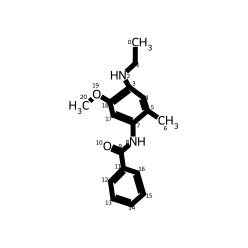 CCNc1cc(C)c(NC(=O)c2ccccc2)cc1OC